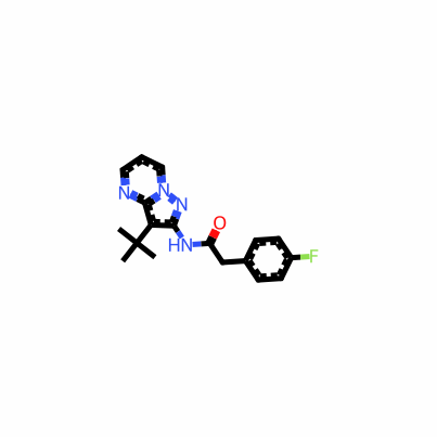 CC(C)(C)c1c(NC(=O)Cc2ccc(F)cc2)nn2cccnc12